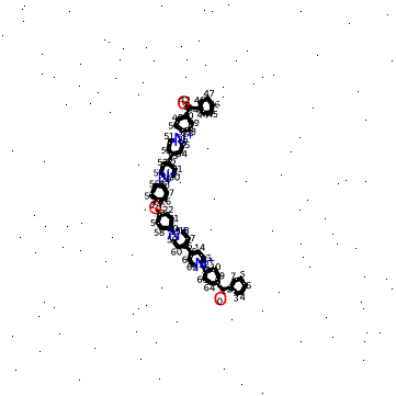 O=C(c1ccccc1)c1ccc(-[n+]2ccc(-c3cc[n+](-c4ccc(Oc5ccc(-[n+]6ccc(-c7cc[n+](-c8ccc(C(=O)c9ccccc9)cc8)cc7)cc6)cc5)cc4)cc3)cc2)cc1